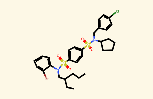 CCCC(CC)CN(c1ccccc1Br)S(=O)(=O)c1ccc(S(=O)(=O)N(Cc2ccc(Cl)cc2)C2CCCC2)cc1